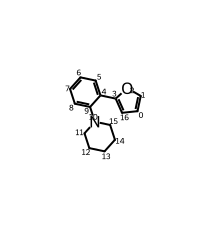 c1coc(-c2ccccc2N2CCCCC2)c1